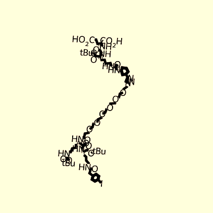 CC(C)(C)OC(=O)NCCCC[C@H](NC(=O)CCOCCOCCOCCOCCOCCOCCn1cc(-c2cccc(NC(=O)NCCCC[C@H](NC(=O)N[C@@H](CCC(=O)O)C(=O)O)C(=O)OC(C)(C)C)c2)nn1)C(=O)N[C@@H](CCCCNC(=O)Cc1ccc(I)cc1)C(=O)OC(C)(C)C